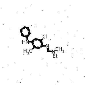 CCN(C)C=Nc1cc(C)c(Nc2ccccc2)cc1Cl